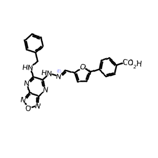 O=C(O)c1ccc(-c2ccc(/C=N/Nc3nc4nonc4nc3NCc3ccccc3)o2)cc1